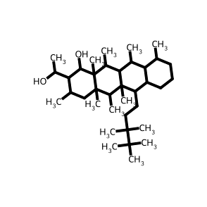 CC(O)C1C(C)CC2(C)C(C)C3(C)C(CCC(C)(C)C(C)(C)C)C4CCCC(C)C4C(C)C3C(C)C2(C)C1O